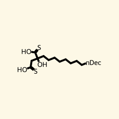 CCCCCCCCCCCCCCCCCCC(O)(CC(O)=S)C(O)=S